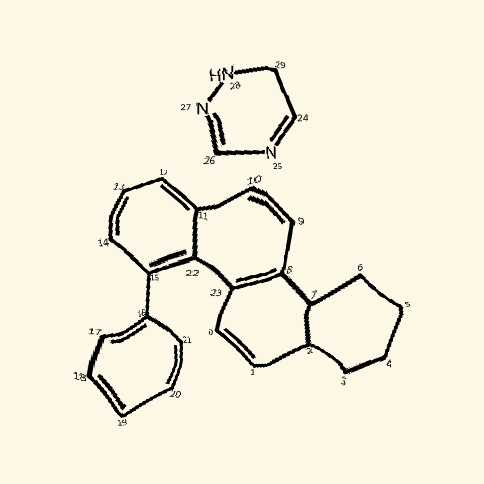 C1=CC2CCCCC2c2ccc3cccc(-c4ccccc4)c3c21.C1=NC=NNC1